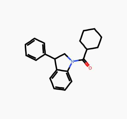 O=C(C1CCCCC1)N1CC(c2ccccc2)c2ccccc21